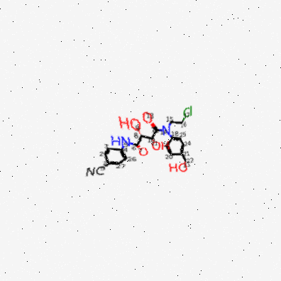 N#Cc1ccc(NC(=O)[C@H](O)[C@@H](O)C(=O)N(CCCl)c2ccc(CO)cc2)cc1